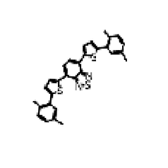 Cc1ccc(C)c(-c2ccc(-c3ccc(-c4ccc(-c5cc(C)ccc5C)s4)c4nsnc34)s2)c1